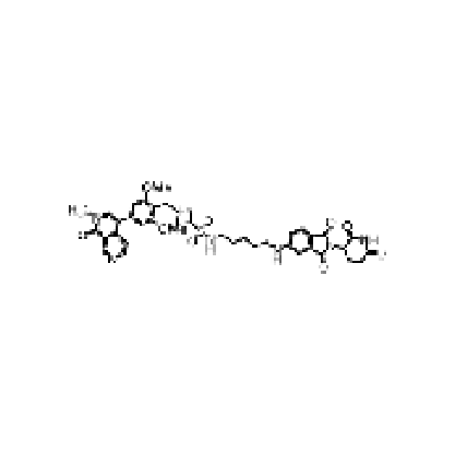 COc1cc(-c2cn(C)c(=O)c3cnccc23)cc(OC)c1CN1CC(S(=O)(=O)NCCCCCNc2ccc3c(c2)C(=O)N(C2CCC(=O)NC2=O)C3=O)C1